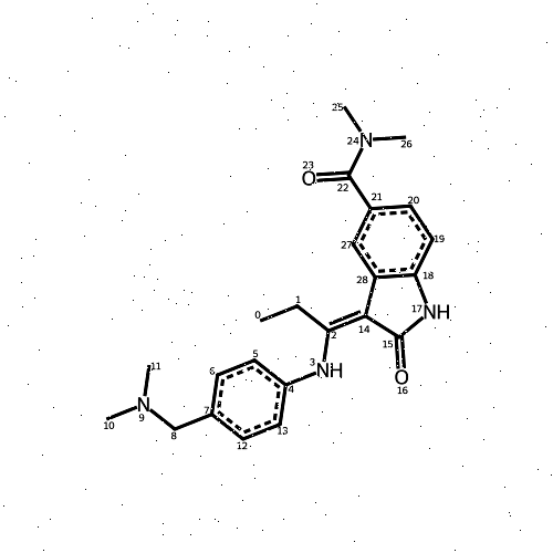 CC/C(Nc1ccc(CN(C)C)cc1)=C1/C(=O)Nc2ccc(C(=O)N(C)C)cc21